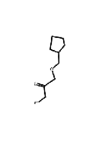 CC(C)CC(=O)COCC1CCCC1